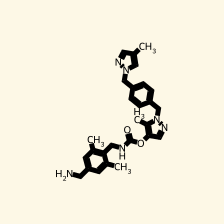 Cc1cnn(Cc2ccc(Cn3ncc(OC(=O)NCc4c(C)cc(CN)cc4C)c3C)cc2)c1